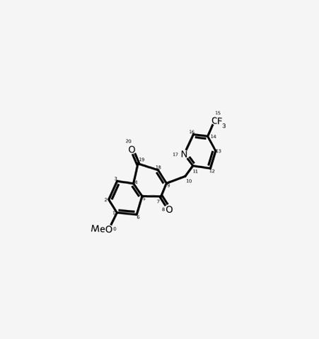 COc1ccc2c(c1)C(=O)C(Cc1ccc(C(F)(F)F)cn1)=CC2=O